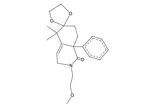 COCCN1CC=C2C(c3ccccc3)(CCC3(OCCO3)C2(C)C)C1=O